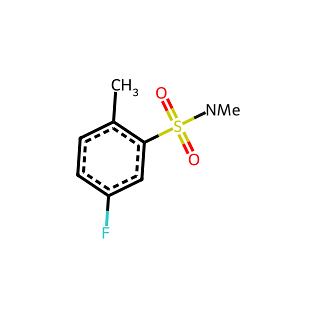 CNS(=O)(=O)c1cc(F)ccc1C